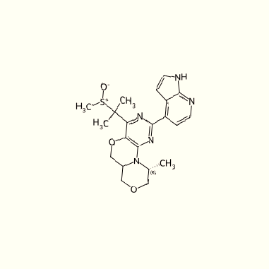 C[C@@H]1COCC2COc3c(nc(-c4ccnc5[nH]ccc45)nc3C(C)(C)[S+](C)[O-])N21